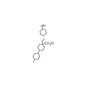 CCC[C@H]1CC[C@H](CCC2(C(=O)OCC)CCC(C3CCC(C)CC3)CC2)CC1